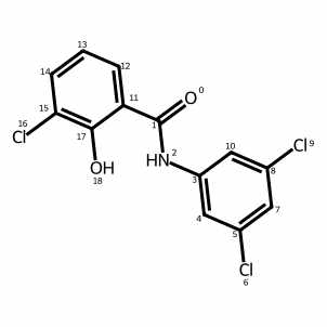 O=C(Nc1cc(Cl)cc(Cl)c1)c1cccc(Cl)c1O